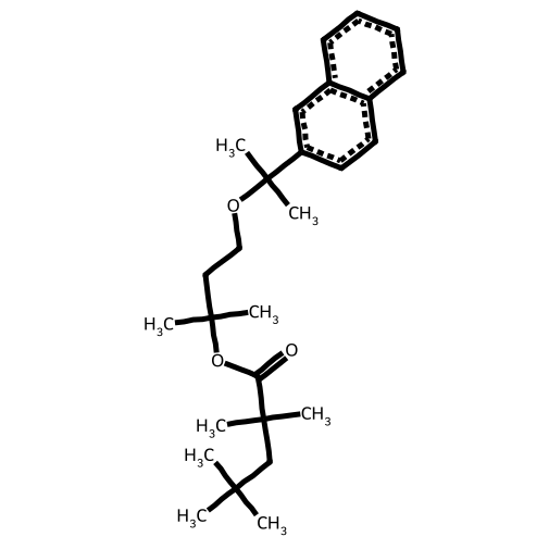 CC(C)(C)CC(C)(C)C(=O)OC(C)(C)CCOC(C)(C)c1ccc2ccccc2c1